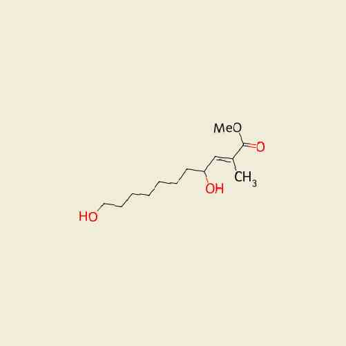 COC(=O)C(C)=CC(O)CCCCCCCO